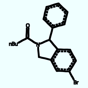 CCCCC(=O)N1Cc2cc(Br)ccc2C1c1ccccc1